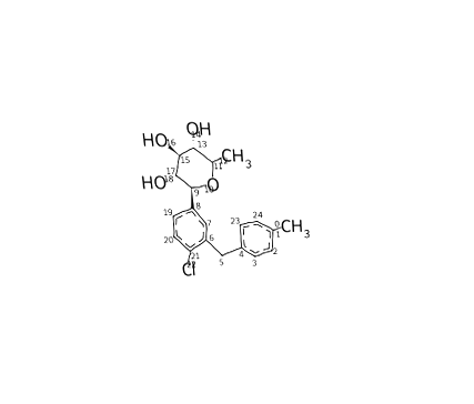 Cc1ccc(Cc2cc([C@@H]3OC(C)[C@@H](O)[C@H](O)[C@H]3O)ccc2Cl)cc1